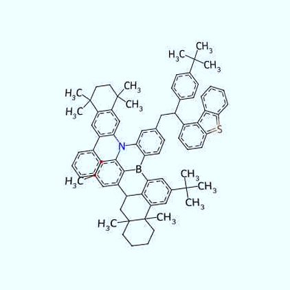 Cc1cc2c3c(c1)N(c1cc4c(cc1-c1ccccc1)C(C)(C)CCC4(C)C)c1cc(CC(c4ccc(C(C)(C)C)cc4)c4cccc5sc6ccccc6c45)ccc1B3c1cc(C(C)(C)C)cc3c1C2CC1(C)CCCCC31C